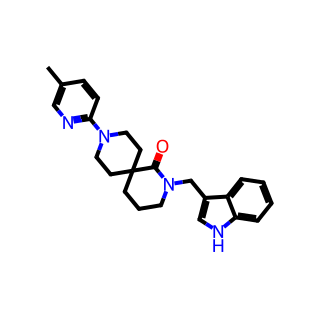 Cc1ccc(N2CCC3(CCCN(Cc4c[nH]c5ccccc45)C3=O)CC2)nc1